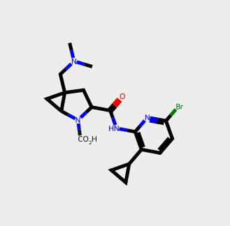 CN(C)CC12CC(C(=O)Nc3nc(Br)ccc3C3CC3)N(C(=O)O)C1C2